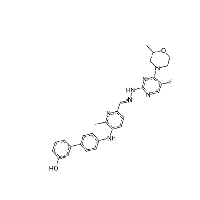 Cc1nc(/C=N/Nc2ncc(F)c(N3CCOC(C)C3)n2)ccc1Nc1ccc(-c2cccc(O)c2)cc1